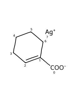 O=C([O-])C1=CCCCC1.[Ag+]